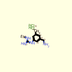 CCNC(=N)Nc1cc(C)cc(CN)c1.Cl.Cl